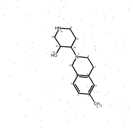 Cc1ccc2c(c1)CCN(C1CCNCC1O)C2